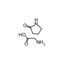 NCC(=O)O.O=C1CCCN1